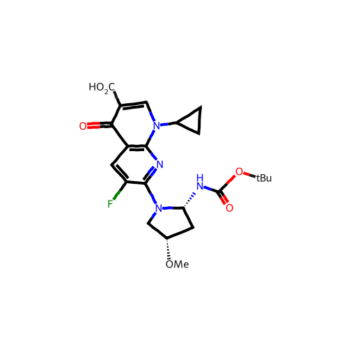 CO[C@H]1C[C@@H](NC(=O)OC(C)(C)C)N(c2nc3c(cc2F)c(=O)c(C(=O)O)cn3C2CC2)C1